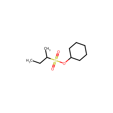 CCC(C)S(=O)(=O)OC1CCCCC1